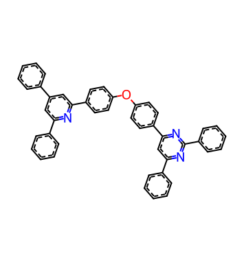 c1ccc(-c2cc(-c3ccccc3)nc(-c3ccc(Oc4ccc(-c5cc(-c6ccccc6)nc(-c6ccccc6)n5)cc4)cc3)c2)cc1